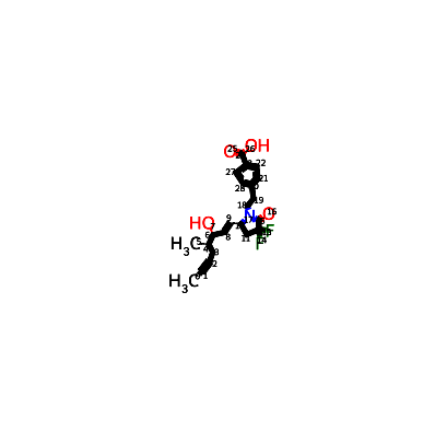 CC#CC[C@H](C)[C@H](O)C=C[C@H]1CC(F)(F)C(=O)N1CCc1ccc(C(=O)O)cc1